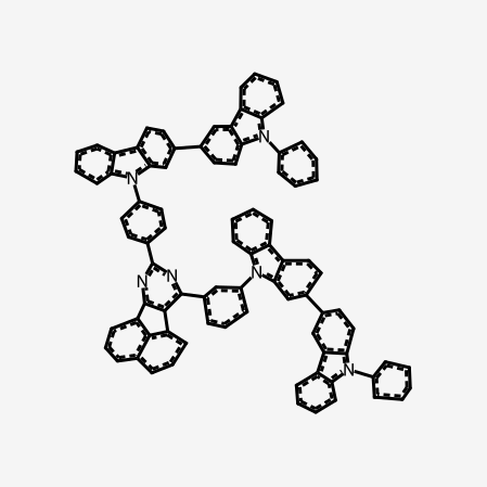 c1ccc(-n2c3ccccc3c3cc(-c4ccc5c6ccccc6n(-c6ccc(-c7nc(-c8cccc(-n9c%10ccccc%10c%10ccc(-c%11ccc%12c(c%11)c%11ccccc%11n%12-c%11ccccc%11)cc%109)c8)c8c(n7)-c7cccc9cccc-8c79)cc6)c5c4)ccc32)cc1